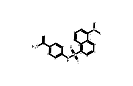 C=C(N)c1ccc(NS(=O)(=O)c2cccc3c(N(C)C)cccc23)cc1